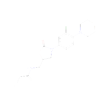 CCC(=S)NCC1CN(c2ccc(N3CCSCC3)c(F)c2)C(=O)O1